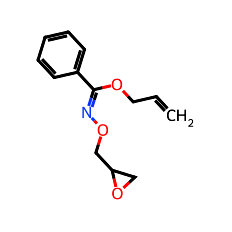 C=CCOC(=NOCC1CO1)c1ccccc1